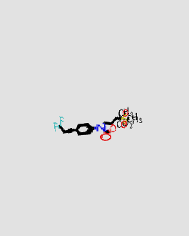 CC(CC1CN(c2ccc(C#CCC(F)F)cc2)C(=O)O1)(C(=O)O)S(C)(=O)=O